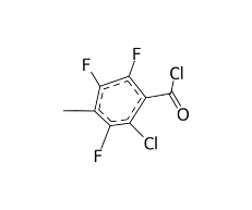 Cc1c(F)c(F)c(C(=O)Cl)c(Cl)c1F